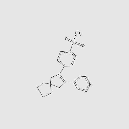 CS(=O)(=O)c1ccc(C2=C(c3ccncc3)CC3(CCCC3)C2)cc1